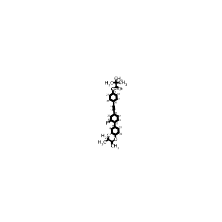 C=C(C)C(=C)Oc1ccc(-c2ccc(C#Cc3ccc(OC(=O)C(C)(C)C)cc3)cc2F)cc1